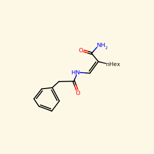 CCCCCCC(=CNC(=O)Cc1ccccc1)C(N)=O